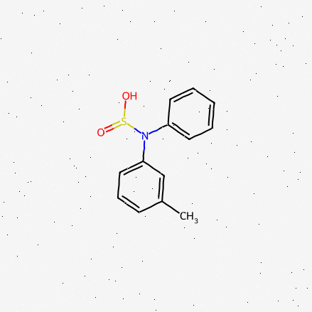 Cc1cccc(N(c2ccccc2)S(=O)O)c1